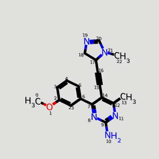 COc1cccc(-c2nc(N)nc(C)c2C#CC2CN=CN2C)c1